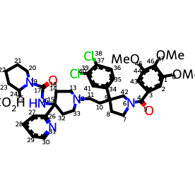 COc1cc(C(=O)N2CCC(CCN3CCC(NC(=O)N4CCCCC4C(=O)O)(c4ccccn4)CC3)(c3ccc(Cl)c(Cl)c3)C2)cc(OC)c1OC